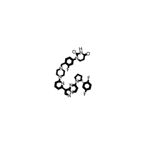 O=C1CCN(c2ccc(CN3CCN(c4cccc(-c5cnn6ccc(N7CCC[C@@H]7c7cc(F)ccc7F)nc56)n4)CC3)c(F)c2)C(=O)N1